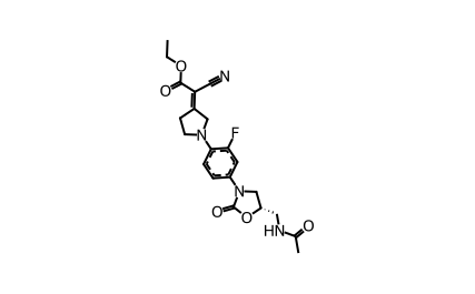 CCOC(=O)C(C#N)=C1CCN(c2ccc(N3C[C@H](CNC(C)=O)OC3=O)cc2F)C1